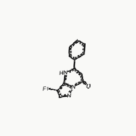 CCc1cnn2c(=O)cc(-c3ccccc3)[nH]c12